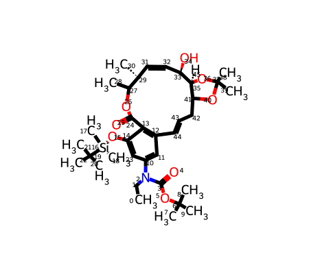 CCN(C(=O)OC(C)(C)C)c1cc2c(c(O[Si](C)(C)C(C)(C)C)c1)C(=O)OC(C)[C@H](C)/C=C\[C@@H](O)[C@H]1OC(C)(C)OC1C/C=C/2